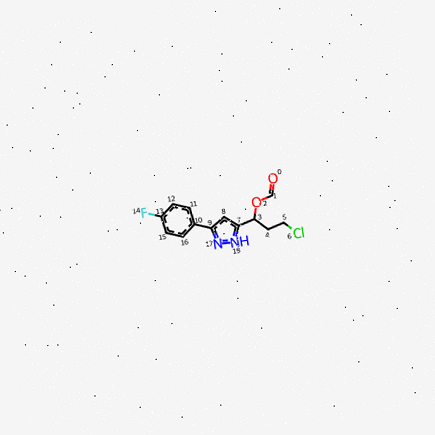 O=COC(CCCl)c1cc(-c2ccc(F)cc2)n[nH]1